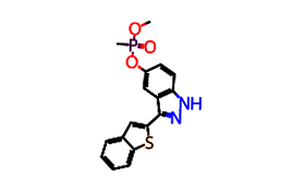 COP(C)(=O)Oc1ccc2[nH]nc(-c3cc4ccccc4s3)c2c1